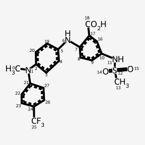 CN(c1ccc(Nc2ccc(NS(C)(=O)=O)cc2C(=O)O)cc1)c1ccc(C(F)(F)F)cc1